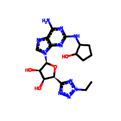 CCn1nnc([C@H]2O[C@@H](n3cnc4c(N)nc(NC5CCCC5O)nc43)[C@H](O)[C@@H]2O)n1